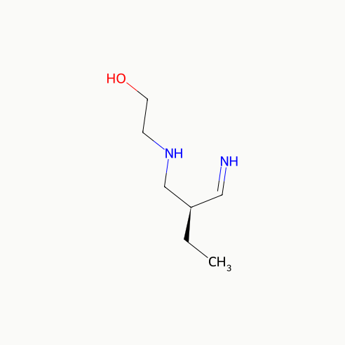 CC[C@H](C=N)CNCCO